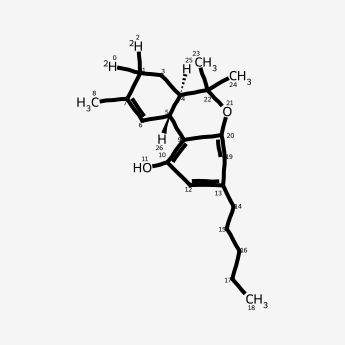 [2H]C1([2H])C[C@@H]2[C@@H](C=C1C)c1c(O)cc(CCCCC)cc1OC2(C)C